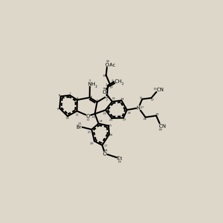 C=CSC1=C(N)c2ccccc2OC1(c1ccc(OCC)cc1Br)c1ccc(N(CCC#N)CCC#N)cc1OCCOC(C)=O